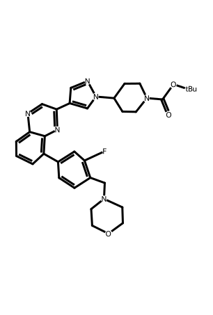 CC(C)(C)OC(=O)N1CCC(n2cc(-c3cnc4cccc(-c5ccc(CN6CCOCC6)c(F)c5)c4n3)cn2)CC1